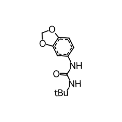 CC(C)(C)NC(=O)Nc1ccc2c(c1)OCO2